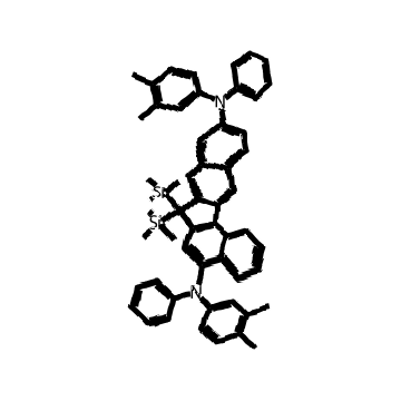 Cc1ccc(N(c2ccccc2)c2ccc3cc4c(cc3c2)C([Si](C)(C)C)([Si](C)(C)C)c2cc(N(c3ccccc3)c3ccc(C)c(C)c3)c3ccccc3c2-4)cc1C